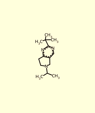 CC(C)N1CCc2nc(C(C)(C)C)ncc2C1